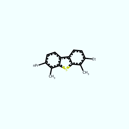 CCCc1ccc2c(sc3c(C)c(CC)ccc32)c1C